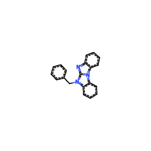 c1ccc(Cn2c3ccccc3n3c4ccccc4nc23)cc1